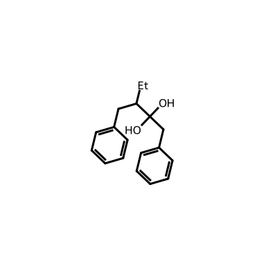 CCC(Cc1ccccc1)C(O)(O)Cc1ccccc1